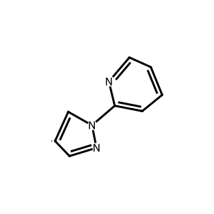 [c]1cnn(-c2ccccn2)c1